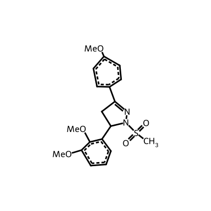 COc1ccc(C2=NN(S(C)(=O)=O)C(c3cccc(OC)c3OC)C2)cc1